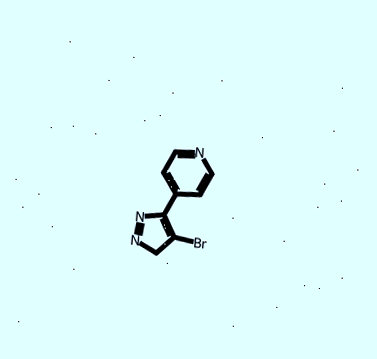 BrC1=C(c2ccncc2)N=NC1